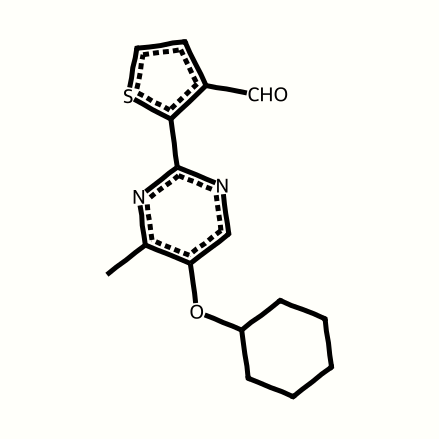 Cc1nc(-c2sccc2C=O)ncc1OC1CCCCC1